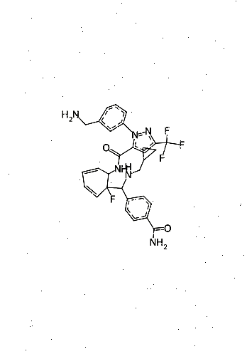 NCc1cccc(-n2nc(C(F)(F)F)cc2C(=O)NC2C=CC=CC2(F)C(NCC2CC2)c2ccc(C(N)=O)cc2)c1